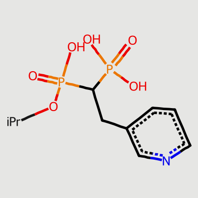 CC(C)OP(=O)(O)C(Cc1cccnc1)P(=O)(O)O